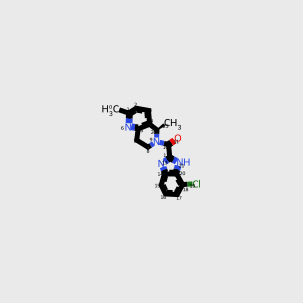 Cc1ccc2c(n1)CCN(C(=O)c1nc3cccc(Cl)c3[nH]1)[C@@H]2C